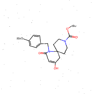 COc1ccc(CN2C(=O)C=C(O)CC23CCN(C(=O)OC(C)(C)C)CC3)cc1